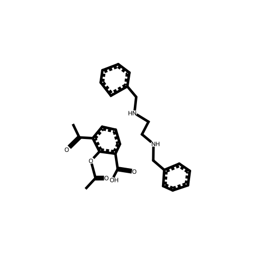 CC(=O)Oc1c(C(C)=O)cccc1C(=O)O.c1ccc(CNCCNCc2ccccc2)cc1